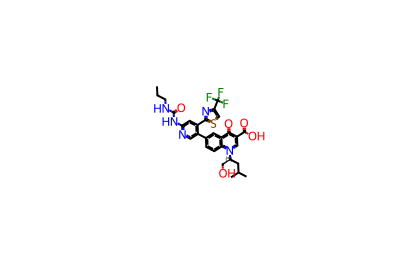 CCCNC(=O)Nc1cc(-c2nc(C(F)(F)F)cs2)c(-c2ccc3c(c2)c(=O)c(C(=O)O)cn3[C@H](CO)CC(C)C)cn1